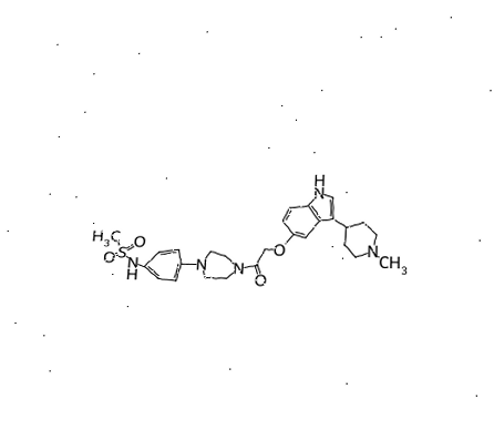 CN1CCC(c2c[nH]c3ccc(OCC(=O)N4CCN(c5ccc(NS(C)(=O)=O)cc5)CC4)cc23)CC1